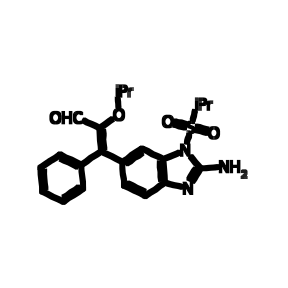 CC(C)OC(C=O)=C(c1ccccc1)c1ccc2nc(N)n(S(=O)(=O)C(C)C)c2c1